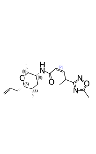 C=CC[C@@H]1O[C@H](C)[C@H](NC(=O)/C=C\C(C)c2noc(C)n2)C[C@@H]1C